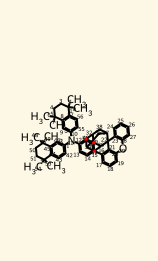 CC1(C)CCC(C)(C)c2cc(N(c3ccc(-c4cccc5c4C4(c6ccccc6O5)C5CC6CC(C5)CC4C6)cc3)c3ccc4c(c3)C(C)(C)CCC4(C)C)ccc21